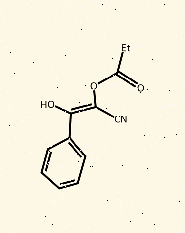 CCC(=O)O/C(C#N)=C(\O)c1ccccc1